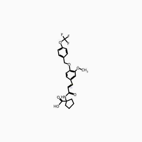 COc1cc(/C=C/C(=O)NC2(C(=O)O)CCCC2)ccc1OCc1ccc(OC(F)(F)F)cc1